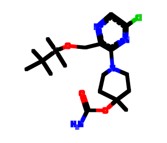 CC1(OC(N)=O)CCN(c2nc(Cl)cnc2CO[Si](C)(C)C(C)(C)C)CC1